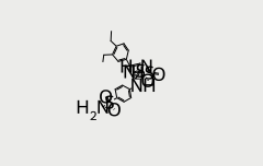 CCc1ccc(-c2csc(Nc3ccc(S(N)(=O)=O)cc3)n2)cc1CC.N[SH](=O)=O